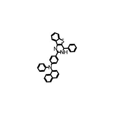 c1ccc(C2NC(c3ccc(N(c4ccccc4)c4cccc5ccccc45)cc3)=Nc3c2sc2ccccc32)cc1